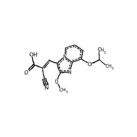 COc1nc2c(OC(C)C)cccn2c1/C=C(\C#N)C(=O)O